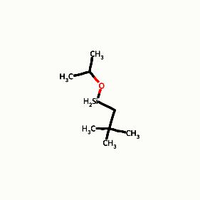 CC(C)O[SiH2]CC(C)(C)C